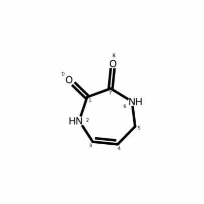 O=C1NC=CCNC1=O